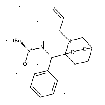 C=CCN1CC2CCC1([C@@H](N[S@@+]([O-])C(C)(C)C)c1ccccc1)CC2